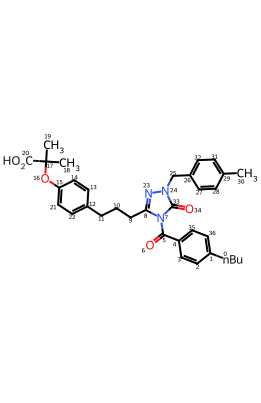 CCCCc1ccc(C(=O)n2c(CCCc3ccc(OC(C)(C)C(=O)O)cc3)nn(Cc3ccc(C)cc3)c2=O)cc1